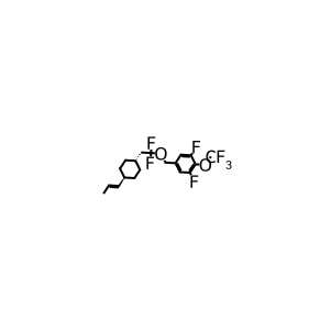 CC=C[C@H]1CC[C@H](CC(F)(F)OCc2cc(F)c(OC(F)(F)F)c(F)c2)CC1